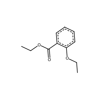 CCOC(=O)c1c[c]ccc1OCC